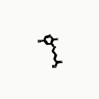 O=C(O)C=CCOc1cc(Cl)cnc1I